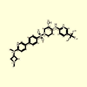 CN1CC(N(C)c2ccc(-c3ccc(S(=O)(=O)N4CC[C@@H](Nc5ccc(C(F)(F)F)cn5)[C@@H](O)C4)cc3)cn2)C1